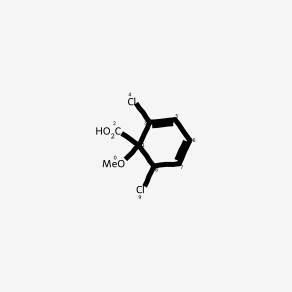 COC1(C(=O)O)C(Cl)=CC=CC1Cl